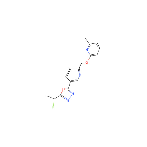 Cc1cccc(OCc2ccc(-c3nnc(C(C)F)o3)cn2)n1